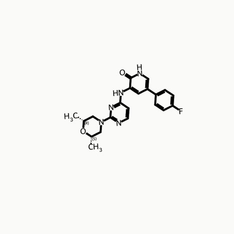 C[C@@H]1CN(c2nccc(Nc3cc(-c4ccc(F)cc4)c[nH]c3=O)n2)C[C@H](C)O1